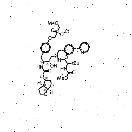 CCOP(=O)(COC)COc1ccc(C[C@H](NC(=O)O[C@H]2CO[C@H]3OCC[C@H]32)[C@@H](O)CN(Cc2ccc(-c3ccccn3)cc2)NC(=O)C(NC(=O)OC)C(C)(C)C)cc1